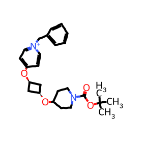 CC(C)(C)OC(=O)N1CCC(O[C@H]2C[C@H](Oc3cc[n+](Cc4ccccc4)cc3)C2)CC1